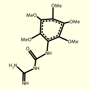 COc1c(NC(=O)NC(=N)N)c(OC)c(OC)c(OC)c1OC